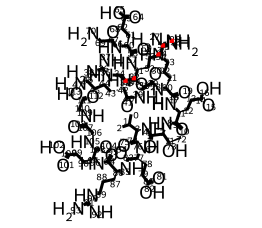 CC(C)[C@H](NC(=O)[C@@H](NC(=O)[C@H](CCC(=O)O)NC(=O)[C@H](CCCNC(=N)N)NC(=O)[C@H](CCCNC(=N)N)NC(=O)[C@H](CCCCN)NC(=O)[C@H](CCCCN)NC(=O)[C@H](CCC(=O)O)NC(=O)CN)[C@@H](C)O)C(=O)N[C@@H](CCC(=O)O)C(=O)N[C@@H](CCCNC(=N)N)C(=O)N[C@@H](CCC(=O)O)C(=O)NCC(=O)NCC(=O)O